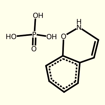 C1=Cc2ccccc2ON1.O=P(O)(O)O